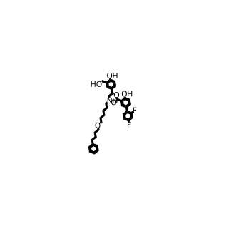 O=C(OC(CNCCCCCCOCCCCc1ccccc1)c1ccc(O)c(CO)c1)c1cc(-c2ccc(F)cc2F)ccc1O